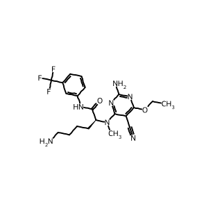 CCOc1nc(N)nc(N(C)[C@@H](CCCCN)C(=O)Nc2cccc(C(F)(F)F)c2)c1C#N